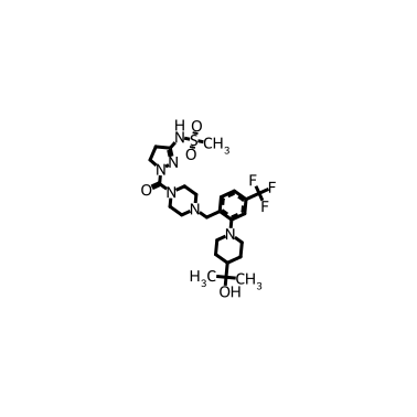 CC(C)(O)C1CCN(c2cc(C(F)(F)F)ccc2CN2CCN(C(=O)N3CCC(NS(C)(=O)=O)=N3)CC2)CC1